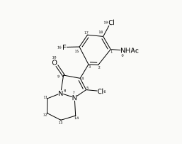 CC(=O)Nc1cc(-c2c(Cl)n3n(c2=O)CCCC3)c(F)cc1Cl